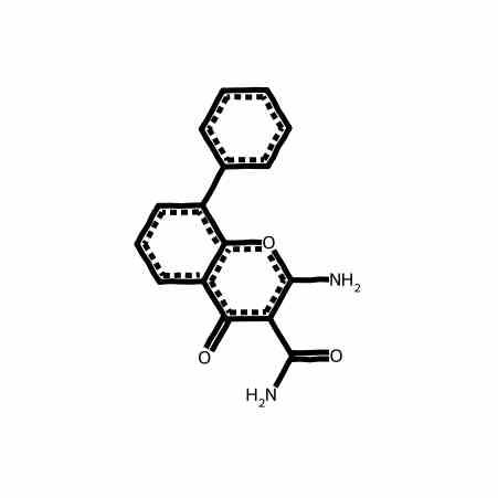 NC(=O)c1c(N)oc2c(-c3ccccc3)cccc2c1=O